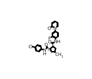 C=C1C[C@H](C(=O)Nc2ccc(-n3ccccc3=O)cc2F)[C@H](C(=O)Nc2ccc(Cl)cc2)C1